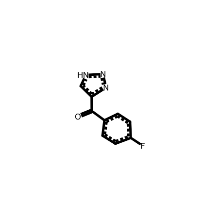 O=C(c1ccc(F)cc1)c1c[nH]nn1